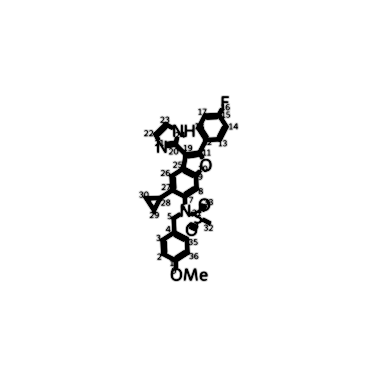 COc1ccc(CN(c2cc3oc(-c4ccc(F)cc4)c(-c4ncc[nH]4)c3cc2C2CC2)S(C)(=O)=O)cc1